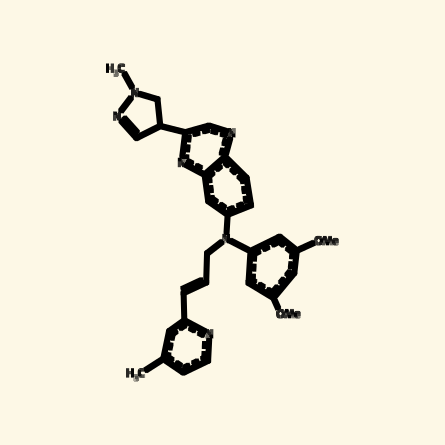 COc1cc(OC)cc(N(C/C=C/c2cc(C)ccn2)c2ccc3ncc(C4C=NN(C)C4)nc3c2)c1